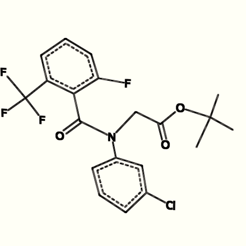 CC(C)(C)OC(=O)CN(C(=O)c1c(F)cccc1C(F)(F)F)c1cccc(Cl)c1